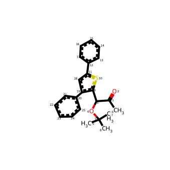 CC(=O)C(OC(C)(C)C)c1sc(-c2ccccc2)cc1-c1ccccc1